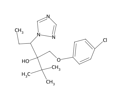 CCC(n1cncn1)C(O)(COc1ccc(Cl)cc1)C(C)(C)C